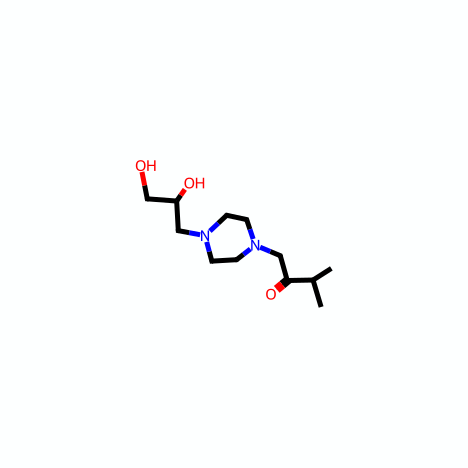 CC(C)C(=O)CN1CCN(CC(O)CO)CC1